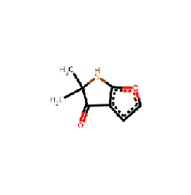 CC1(C)[SH]c2occc2C1=O